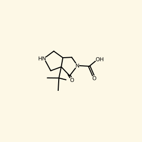 CC(C)(C)C12CNCC1CN(C(=O)O)C2=O